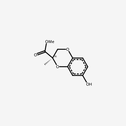 COC(=O)[C@@]1(C)COc2ccc(O)cc2O1